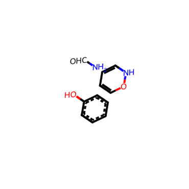 C1=CNOC=C1.NC=O.Oc1ccccc1